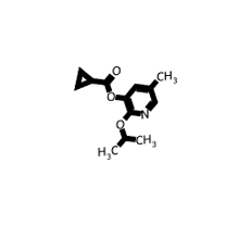 Cc1cnc(OC(C)C)c(OC(=O)C2CC2)c1